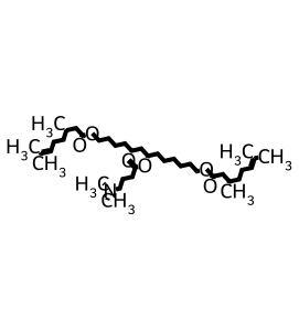 CC(C)=CCCC(C)CC(=O)OCCCCCCC(CCCCCCOC(=O)CC(C)CCC=C(C)C)OC(=O)CCCN(C)C